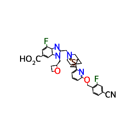 C#S1(C23CN(CC4=NC5C(F)=CC(C(=O)O)=CC5N4C[C@@H]4CCO4)CCC2(c2cccc(OCc4ccc(C#N)cc4F)n2)C3)C=C1